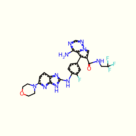 Nc1ncnn2cc(C(=O)NCC(F)(F)F)c(-c3ccc(Nc4nc5ccc(N6CCOCC6)nc5[nH]4)c(F)c3)c12